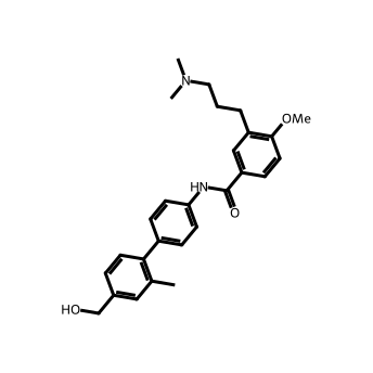 COc1ccc(C(=O)Nc2ccc(-c3ccc(CO)cc3C)cc2)cc1CCCN(C)C